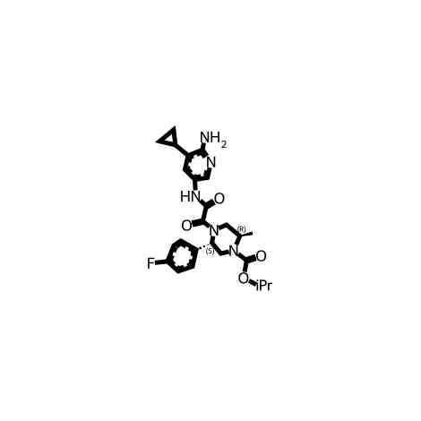 CC(C)OC(=O)N1C[C@H](c2ccc(F)cc2)N(C(=O)C(=O)Nc2cnc(N)c(C3CC3)c2)C[C@H]1C